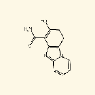 NC(=O)C1=C(O)CCc2c1nc1ccccn21